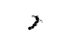 CN(c1nc2sc(-n3ccc(-c4cnn(C5CCCCO5)c4)cc3=O)nc2s1)C1CCN(C(=O)OC(C)(C)C)CC1